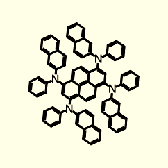 c1ccc(N(c2ccc3ccccc3c2)c2cc(N(c3ccccc3)c3ccc4ccccc4c3)c3ccc4c(N(c5ccccc5)c5ccc6ccccc6c5)cc(N(c5ccccc5)c5ccc6ccccc6c5)c5ccc2c3c54)cc1